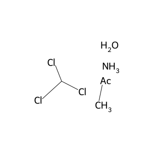 CC(C)=O.ClC(Cl)Cl.N.O